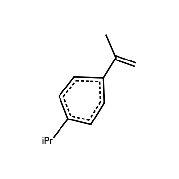 [CH2]C(C)c1ccc(C(=C)C)cc1